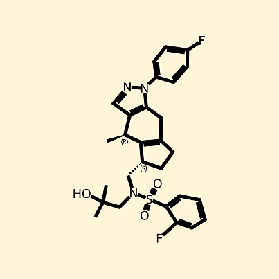 C[C@@H]1C2=C(CC[C@@H]2CN(CC(C)(C)O)S(=O)(=O)c2ccccc2F)Cc2c1cnn2-c1ccc(F)cc1